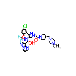 CN1CCN(CC2CCN(C(=O)Cn3cc(NC(O)c4cnn5cccnc45)c(-c4cc(Cl)ccc4OC(F)F)n3)CC2)CC1